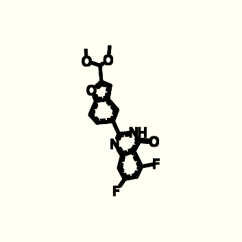 COC(OC)c1cc2cc(-c3nc4cc(F)cc(F)c4c(=O)[nH]3)ccc2o1